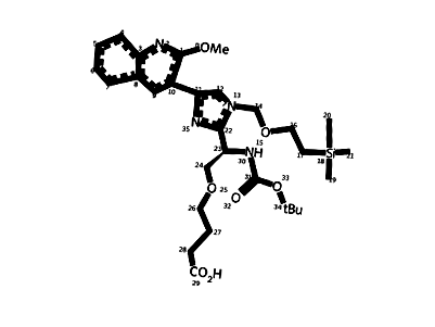 COc1nc2ccccc2cc1-c1cn(COCC[Si](C)(C)C)c([C@H](COCCCC(=O)O)NC(=O)OC(C)(C)C)n1